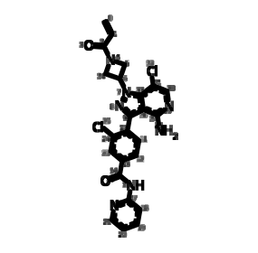 C=CC(=O)N1CC(n2nc(-c3ccc(C(=O)Nc4ccccn4)cc3Cl)c3c(N)ncc(Cl)c32)C1